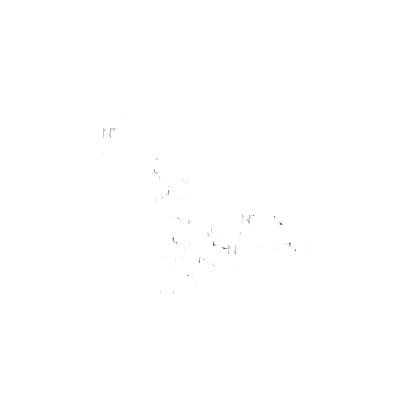 C[C@@]12OC(=O)O[C@@H]1[C@@H](CO[P@@]1(=O)OCC[C@@H](c3ccncc3)O1)O[C@H]2n1ccc2c(N)ncnc21